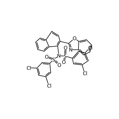 O=S(=O)(c1cc(Cl)cc(Cl)c1)N(c1c(-c2nc3ccccc3o2)ccc2ccccc12)S(=O)(=O)c1cc(Cl)cc(Cl)c1